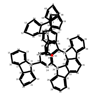 c1ccc(-c2ccc(-c3nc(-n4c5ccccc5c5ccccc54)nc(-n4c5ccccc5c5ccc6c7ccccc7n(-c7cccc(-n8c9ccccc9c9ccccc98)c7)c6c54)n3)cc2)cc1